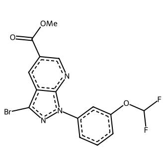 COC(=O)c1cnc2c(c1)c(Br)nn2-c1cccc(OC(F)F)c1